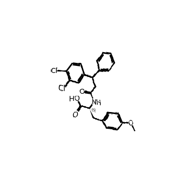 COc1ccc(C[C@H](NC(=O)CC(c2ccccc2)c2ccc(Cl)c(Cl)c2)C(=O)O)cc1